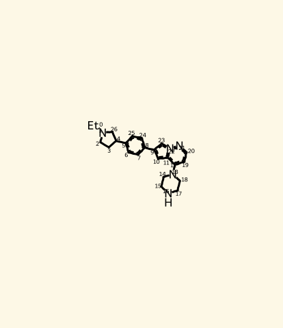 CCN1CCC(c2ccc(-c3cc4c(N5CCNCC5)ccnn4c3)cc2)C1